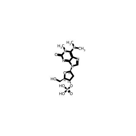 CN(C)c1c2ncn([C@H]3C[C@H](OP(=O)(O)O)[C@@H](CO)O3)c2nc(=O)n1C